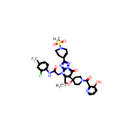 C[C@H]1OC2(CCN(C(=O)c3ncccc3O)CC2)c2c1n(CC(=O)Nc1ccc(C(F)(F)F)cc1Cl)c1nc(C3=CCN(S(C)(=O)=O)CC3)nn1c2=O